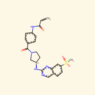 C=CC(=O)Nc1ccc(C(=O)N2CC[C@@H](Nc3ncc4ccc(S(C)(=O)=O)cc4n3)C2)cc1